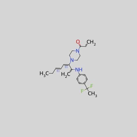 C=CC(=O)N1CCN(/C(=C/C=C/CC)C(=C)Nc2ccc(C(C)(F)F)cc2)CC1